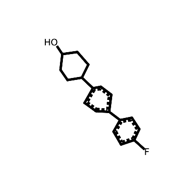 OC1CCC(c2ccc(-c3ccc(F)cc3)cc2)CC1